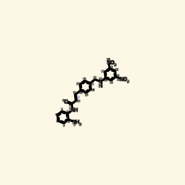 Nc1ccccc1NC(=O)/C=C/c1ccc(CNc2cc([N+](=O)[O-])cc([N+](=O)[O-])c2)cc1